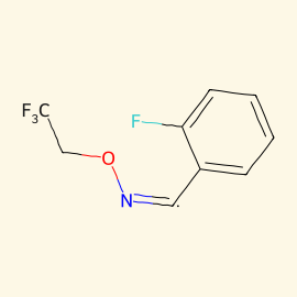 Fc1ccccc1/[C]=N\OCC(F)(F)F